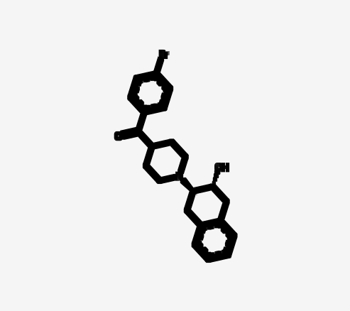 O=C(c1ccc(Br)cc1)C1CCN([C@@H]2Cc3ccccc3C[C@H]2O)CC1